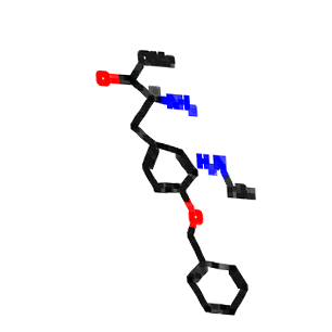 CCCCN.COC(=O)[C@@H](N)Cc1ccc(OCc2ccccc2)cc1